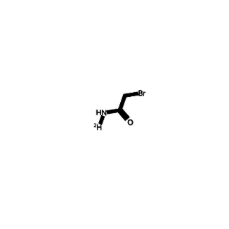 [2H]NC(=O)CBr